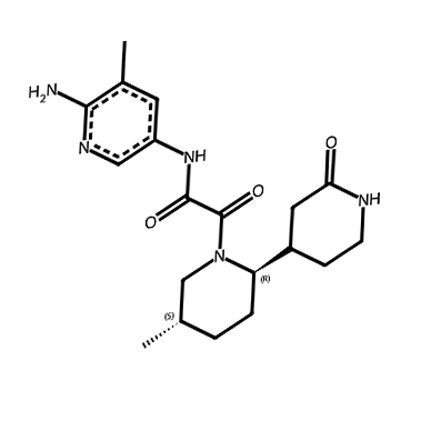 Cc1cc(NC(=O)C(=O)N2C[C@@H](C)CC[C@@H]2C2CCNC(=O)C2)cnc1N